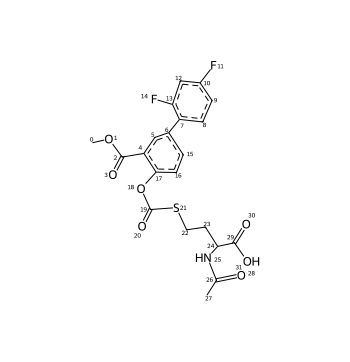 COC(=O)c1cc(-c2ccc(F)cc2F)ccc1OC(=O)SCCC(NC(C)=O)C(=O)O